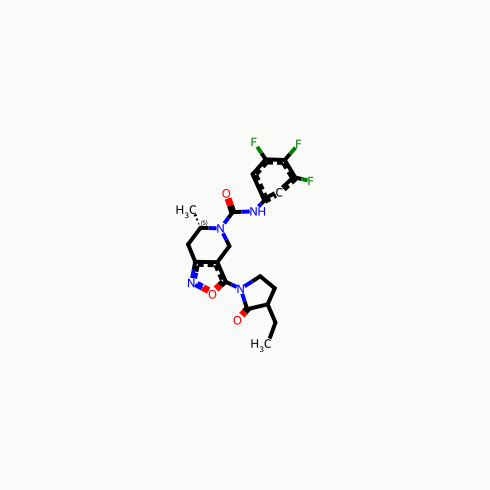 CCC1CCN(c2onc3c2CN(C(=O)Nc2cc(F)c(F)c(F)c2)[C@@H](C)C3)C1=O